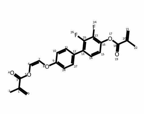 C=C(C)C(=O)O/C=C\Oc1ccc(-c2ccc(OC(=O)C(=C)C)c(F)c2F)cc1